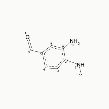 CNc1ccc([C]=O)cc1N